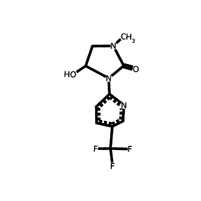 CN1CC(O)N(c2ccc(C(F)(F)F)cn2)C1=O